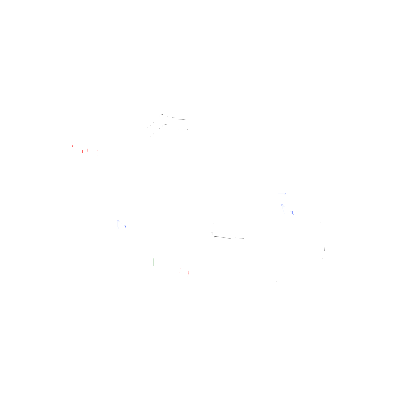 O=C(c1cccc(O)c1N(Cl)Cl)C1CCCN1